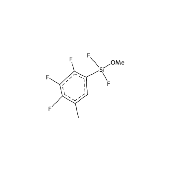 CO[Si](F)(F)c1cc(C)c(F)c(F)c1F